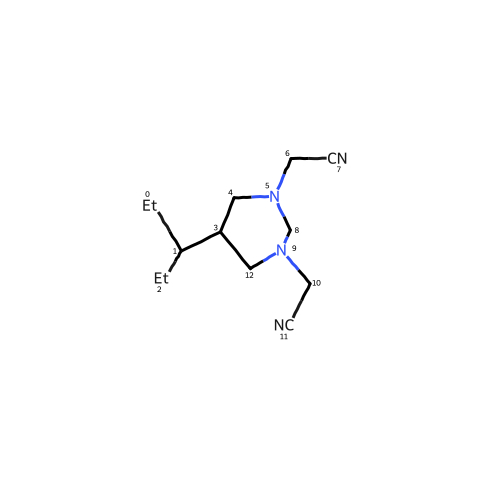 CCC(CC)C1CN(CC#N)CN(CC#N)C1